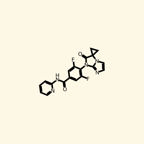 O=C(Nc1ccccn1)c1cc(F)c(N2C(=O)C3(CC3)n3ccnc32)c(F)c1